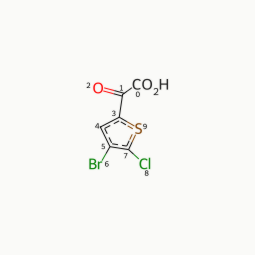 O=C(O)C(=O)c1cc(Br)c(Cl)s1